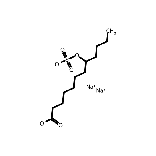 CCCCC(CCCCCCC(=O)[O-])OS(=O)(=O)[O-].[Na+].[Na+]